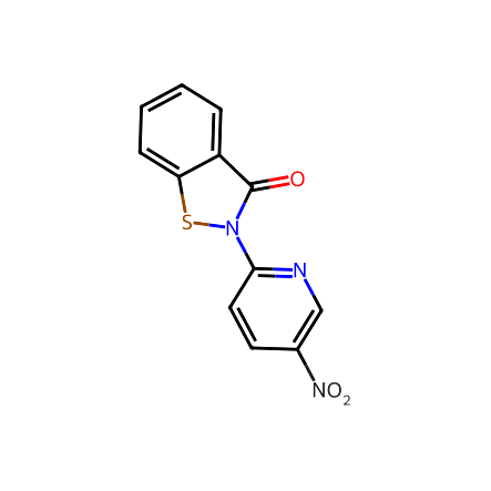 O=c1c2ccccc2sn1-c1ccc([N+](=O)[O-])cn1